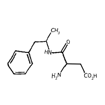 CC(Cc1ccccc1)NC(=O)C(N)CC(=O)O